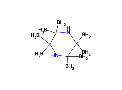 BC1(B)NC(B)(B)C(B)(B)NC1(B)B